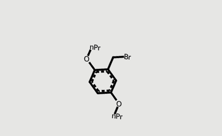 CCCOc1ccc(OCCC)c(CBr)c1